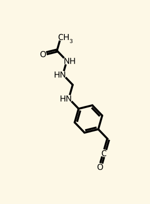 CC(=O)NNCNc1ccc(C=C=O)cc1